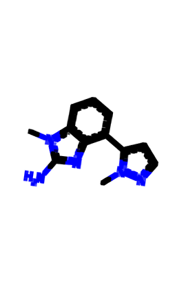 Cn1nccc1-c1cccc2c1nc(N)n2C